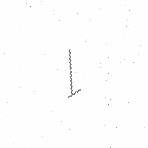 [CH2]CCC(CCCCC)CCCCCCCCCCCCCCCCCCCCCCCC